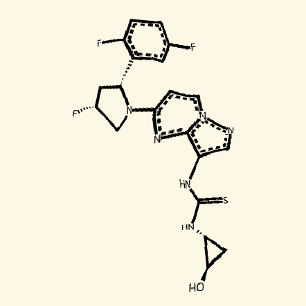 O[C@@H]1C[C@H]1NC(=S)Nc1cnn2ccc(N3C[C@H](F)C[C@@H]3c3cc(F)ccc3F)nc12